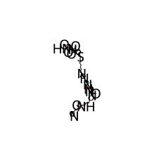 O=C(/C=C/c1cccnc1)NCCCCC1CCN(C(=O)c2ccc(N3CCC(N4CCN(CCCCCCCSc5ccc6c(c5)C(=O)N(C5CCC(=O)NC5=O)C6=O)CC4)CC3)nn2)CC1